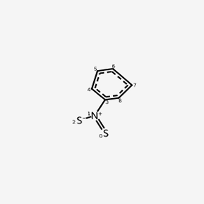 S=[N+]([S-])c1ccccc1